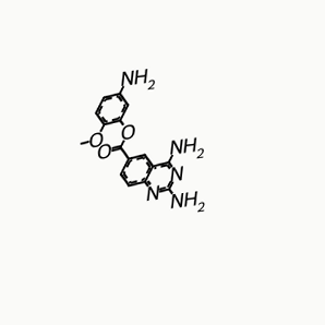 COc1ccc(N)cc1OC(=O)c1ccc2nc(N)nc(N)c2c1